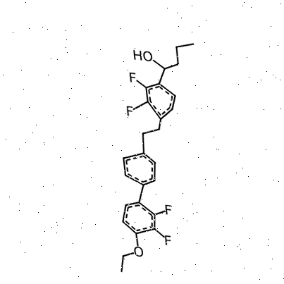 CCCC(O)c1ccc(CCc2ccc(-c3ccc(OCC)c(F)c3F)cc2)c(F)c1F